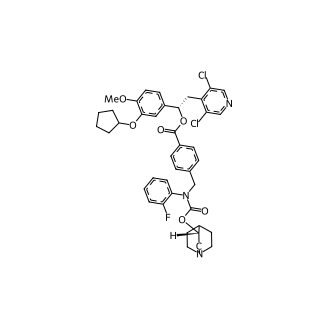 COc1ccc([C@H](Cc2c(Cl)cncc2Cl)OC(=O)c2ccc(CN(C(=O)O[C@H]3CN4CCC3CC4)c3ccccc3F)cc2)cc1OC1CCCC1